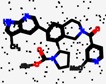 COc1cc(C(=O)N2CCc3cc(-c4cnc5[nH]cc(C)c5c4)cc([C@@H]4CCCN4C(=O)OC(C)(C)C)c3C2)ccn1